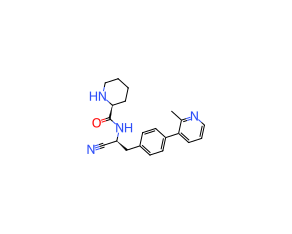 Cc1ncccc1-c1ccc(C[C@@H](C#N)NC(=O)[C@@H]2CCCCN2)cc1